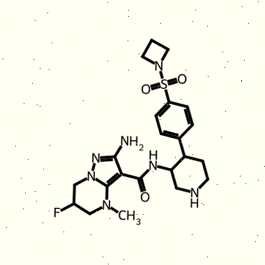 CN1CC(F)Cn2nc(N)c(C(=O)NC3CNCCC3c3ccc(S(=O)(=O)N4CCC4)cc3)c21